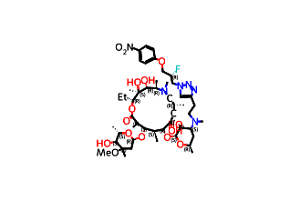 CC[C@H]1OC(=O)[C@H](C)[C@@H](O[C@H]2C[C@@](C)(OC)[C@@H](O)[C@H](C)O2)[C@H](C)[C@@H](O[C@@H]2O[C@H](C)C[C@H](N(C)CCc3cn(C[C@@H](F)COc4ccc([N+](=O)[O-])cc4)nn3)[C@H]2O)[C@](C)(O)C[C@@H](C)CN(C)[C@H](C)[C@@H](O)[C@]1(C)O